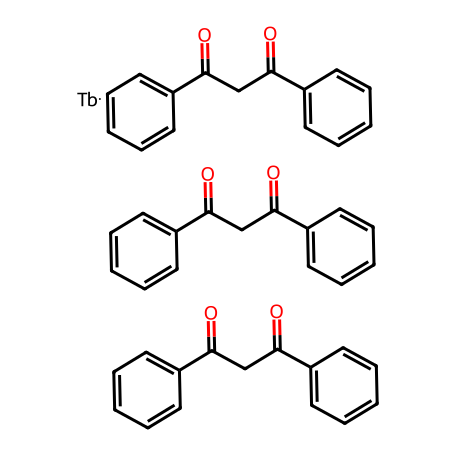 O=C(CC(=O)c1ccccc1)c1ccccc1.O=C(CC(=O)c1ccccc1)c1ccccc1.O=C(CC(=O)c1ccccc1)c1ccccc1.[Tb]